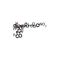 C#Cc1c(F)ccc2cccc(-c3ncc4c(N5C[C@H]6CC[C@@H](C5)N6C(=O)OC(C)(C)C)nc(OC[C@]56CCCN5[C@H](COC(=O)Oc5ccc([N+](=O)[O-])cc5)CC6)nc4c3F)c12